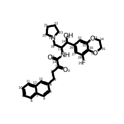 O=C(CCc1ccc2ccccc2c1)C(=O)NC(CN1CCCC1)C(O)c1cc(F)c2c(c1)OCCO2